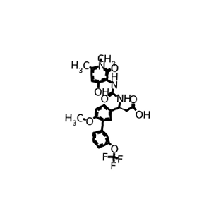 COc1ccc([C@H](CC(=O)O)NC(=O)Nc2c(O)cc(C)n(C)c2=O)cc1-c1cccc(OC(F)(F)F)c1